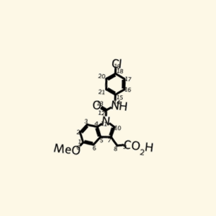 COc1ccc2c(c1)c(CC(=O)O)cn2C(=O)Nc1ccc(Cl)cc1